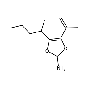 C=C(C)C1=C(C(C)CCC)OC(N)O1